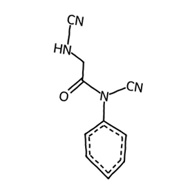 N#CNCC(=O)N(C#N)c1ccccc1